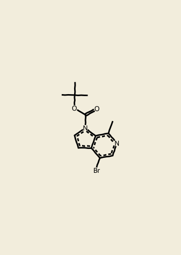 Cc1ncc(Br)c2ccn(C(=O)OC(C)(C)C)c12